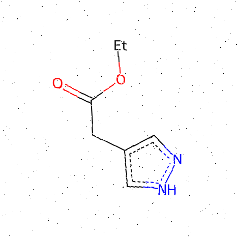 CCOC(=O)Cc1[c][nH]nc1